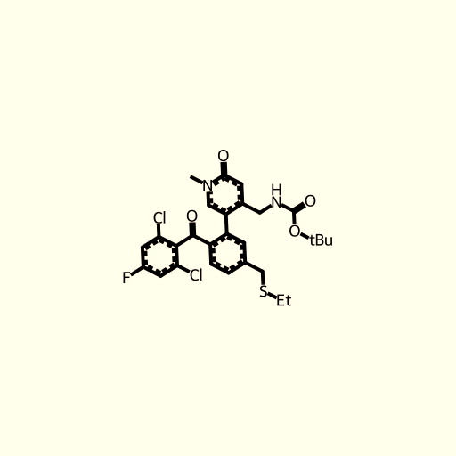 CCSCc1ccc(C(=O)c2c(Cl)cc(F)cc2Cl)c(-c2cn(C)c(=O)cc2CNC(=O)OC(C)(C)C)c1